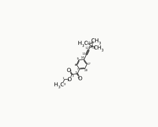 CCOC(=O)C(=O)c1ccc(C#C[Si](C)(C)C)cc1